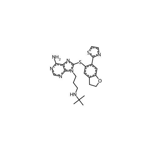 CC(C)(C)NCCCn1c(Sc2cc3c(cc2-c2nccs2)OCC3)nc2c(N)ncnc21